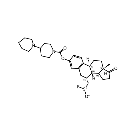 C[C@]12CC[C@@H]3c4ccc(OC(=O)N5CCC(N6CCCCC6)CC5)cc4C[C@@H](C[S+]([O-])F)[C@H]3[C@@H]1CCC2=O